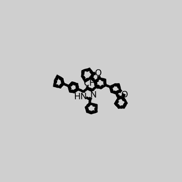 CC1=C(c2cc(-c3ccc4oc5ccccc5c4c3)cc3oc4ccccc4c23)N=C(c2ccccc2)NC1c1ccc(-c2ccccc2)cc1